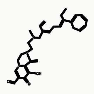 C=C/C(=C\C/C=C(\CC)C1=CC=CC=CC1)CN(C)CCN1CCn2cc(C=O)c(=O)c(O)c2C1=C